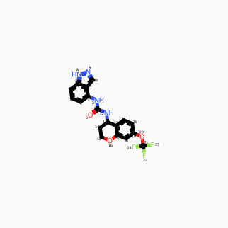 O=C(Nc1cccc2[nH]ncc12)NC1CCOc2cc(OC(F)(F)F)ccc21